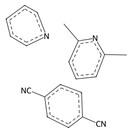 Cc1cccc(C)n1.N#Cc1ccc(C#N)cc1.c1ccncc1